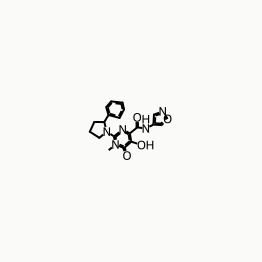 Cn1c(N2CCCC2c2ccccc2)nc(C(=O)Nc2cnoc2)c(O)c1=O